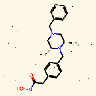 C[C@@H]1CN(Cc2ccccc2)C[C@H](C)N1Cc1ccc(CC(=O)NO)cc1